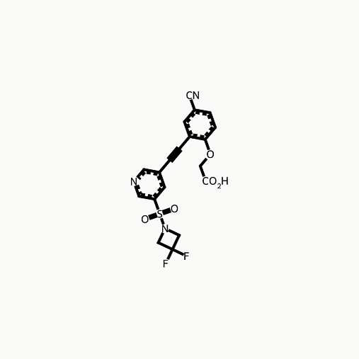 N#Cc1ccc(OCC(=O)O)c(C#Cc2cncc(S(=O)(=O)N3CC(F)(F)C3)c2)c1